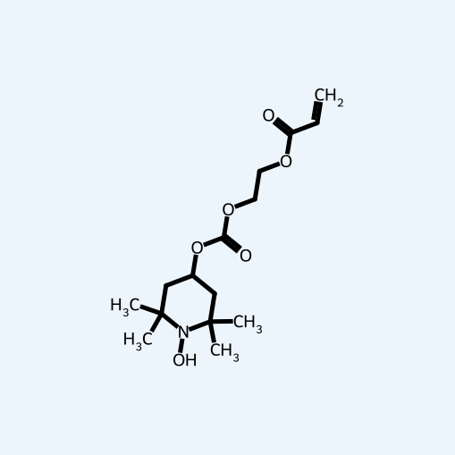 C=CC(=O)OCCOC(=O)OC1CC(C)(C)N(O)C(C)(C)C1